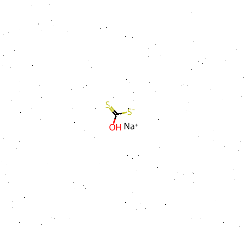 OC(=S)[S-].[Na+]